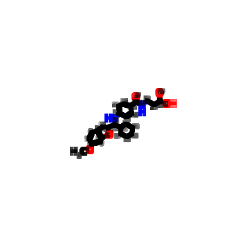 COc1ccc2c(c1)OC(C(Nc1ccc(C(=O)NCCC(=O)O)cc1)C1CCCCC1)C2